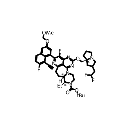 C#Cc1c(F)ccc2cc(OCOC)cc(-c3nc4c5c(nc(OC[C@@]67CCCN6CC(CC(F)F)C7)nc5c3F)N3CCN(C(=O)OC(C)(C)C)[C@@H](CC)[C@H]3CC4)c12